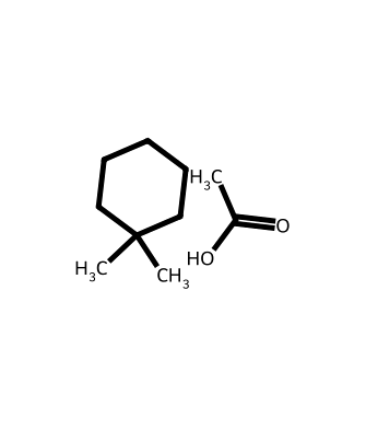 CC(=O)O.CC1(C)CCCCC1